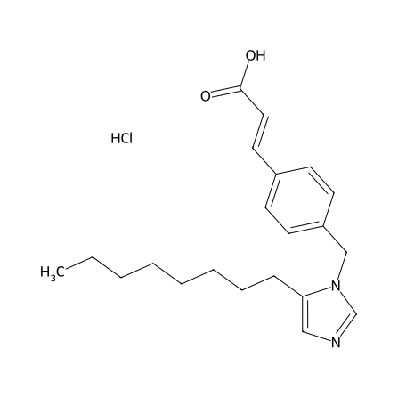 CCCCCCCCc1cncn1Cc1ccc(C=CC(=O)O)cc1.Cl